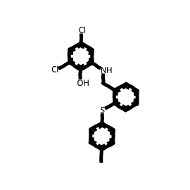 Cc1ccc(Sc2ccccc2CNc2cc(Cl)cc(Cl)c2O)cc1